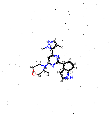 Cc1cnn(C)c1-c1cc(N2CCOCC2C)nc(-c2cccc3[nH]ccc23)n1